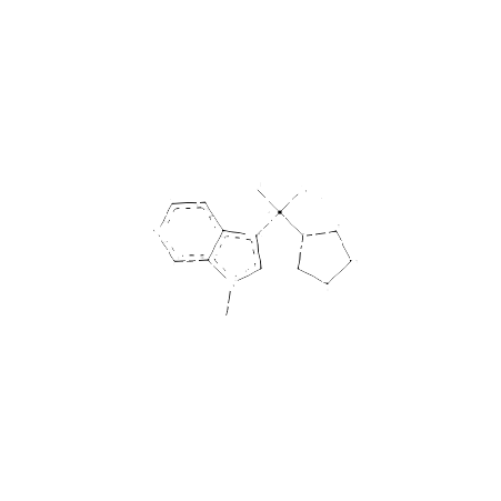 Cn1cc(C(C)(N)C2CCCC2)c2ccncc21